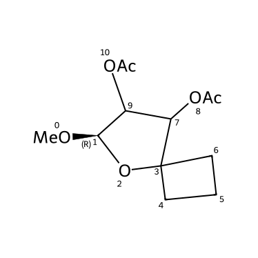 CO[C@@H]1OC2(CCC2)C(OC(C)=O)C1OC(C)=O